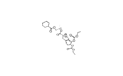 CCOC(=O)Oc1ccc(C[C@H](N)C(=O)O[C@@H](C)COC(=O)C2CCCCC2)cc1OC(=O)OCC